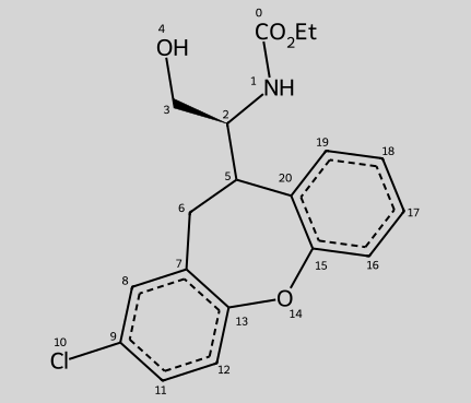 CCOC(=O)N[C@H](CO)C1Cc2cc(Cl)ccc2Oc2ccccc21